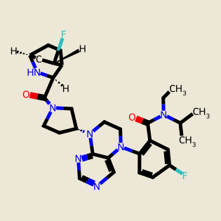 CCN(C(=O)c1cc(F)ccc1N1CCN([C@@H]2CCN(C(=O)[C@H]3N[C@H]4CCC3[C@@H](F)C4)C2)c2ncncc21)C(C)C